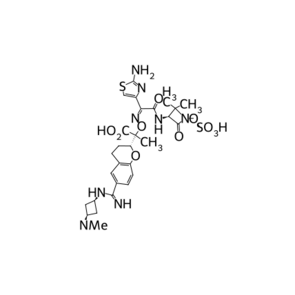 CN[C@H]1C[C@@H](NC(=N)c2ccc3c(c2)CC[C@H](C(C)(O/N=C(\C(=O)N[C@@H]2C(=O)N(OS(=O)(=O)O)C2(C)C)c2csc(N)n2)C(=O)O)O3)C1